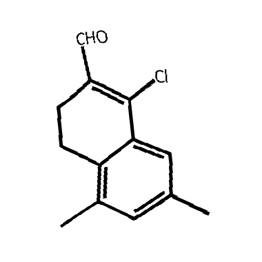 Cc1cc(C)c2c(c1)C(Cl)=C(C=O)CC2